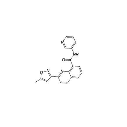 Cc1cc(-c2ccc3cccc(C(=O)Nc4cccnc4)c3n2)no1